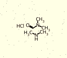 CN(C)C=O.CNC.Cl